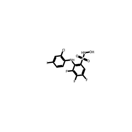 O=S(=O)(NO)c1cc(F)c(F)c(F)c1Nc1ccc(I)cc1Cl